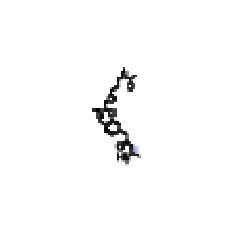 CN/C(C)=C\C(=O)Cc1ccc(CN(C)C(=O)COCCCN(C)C(C)=O)cc1